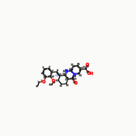 CCOc1cccc(/C=C2\CCCc3c2nc2ccc(C(=O)O)cn2c3=O)c1OC